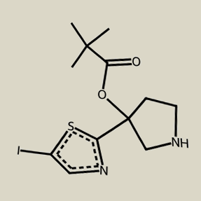 CC(C)(C)C(=O)OC1(c2ncc(I)s2)CCNC1